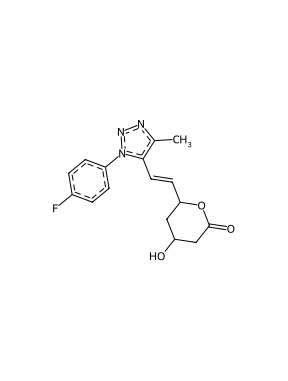 Cc1nnn(-c2ccc(F)cc2)c1C=CC1CC(O)CC(=O)O1